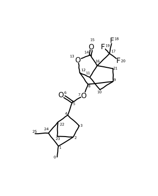 CC1C2CC(C(=O)OC3C4CC5C3OC(=O)C5(C(F)(F)F)C4)C(C2)C1C